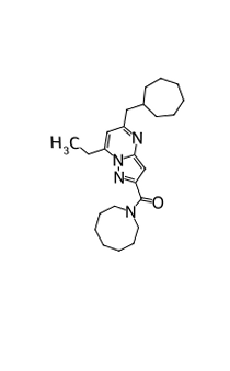 CCc1cc(CC2CCCCCC2)nc2cc(C(=O)N3CCCCCCC3)nn12